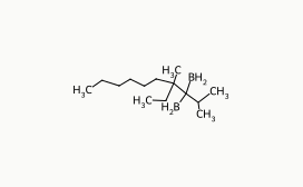 BC(B)(C(C)C)C(C)(CC)CCCCCC